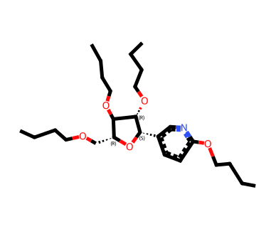 CCCCOC[C@H]1O[C@@H](c2ccc(OCCCC)nc2)[C@@H](OCCCC)C1OCCCC